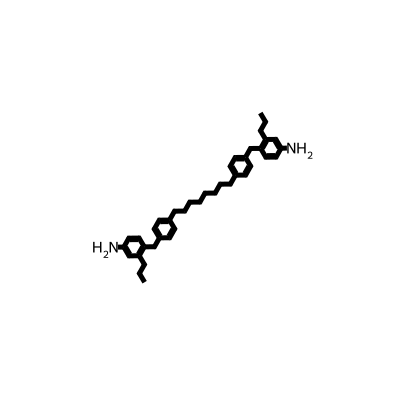 CCCc1cc(N)ccc1Cc1ccc(CCCCCCCCc2ccc(Cc3ccc(N)cc3CCC)cc2)cc1